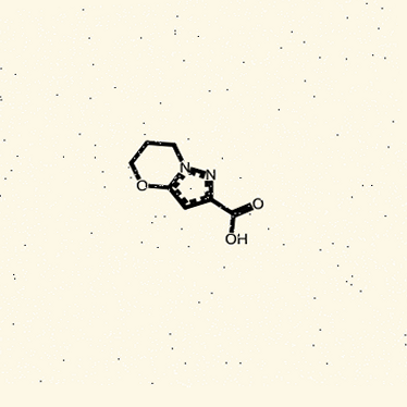 O=C(O)c1cc2n(n1)CCCO2